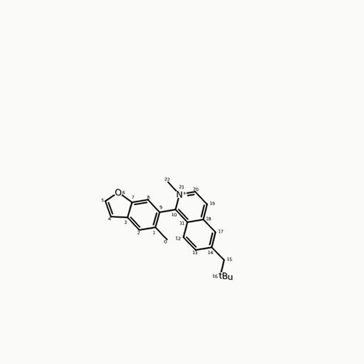 Cc1cc2ccoc2cc1-c1c2ccc(CC(C)(C)C)cc2cc[n+]1C